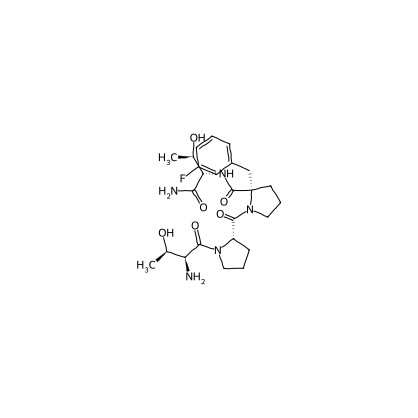 C[C@@H](O)[C@H](N)C(=O)N1CCC[C@H]1C(=O)N1CCC[C@]1(Cc1cccc(F)c1)C(=O)N[C@H](C(N)=O)[C@@H](C)O